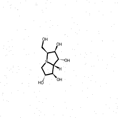 OC[C@H]1[C@@H](O)[C@H](O)[C@@H]2[C@@H](O)[C@H](O)CN21